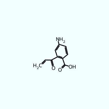 C=CC(=O)c1cc(N)ccc1C(=O)O